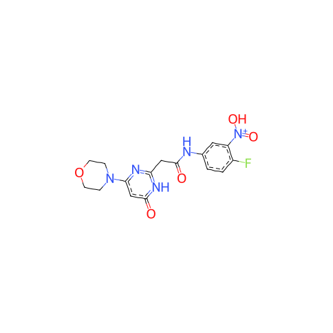 O=C(Cc1nc(N2CCOCC2)cc(=O)[nH]1)Nc1ccc(F)c([N+](=O)O)c1